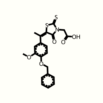 COc1cc(/C(C)=C2/SC(=S)N(CC(=O)O)C2=O)ccc1OCc1ccccc1